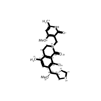 COc1cc(C)[nH]c(=O)c1CN1CCc2c(C)cc([C@@H](OC)[C@@H]3CCOC3)c(Cl)c2C1=O